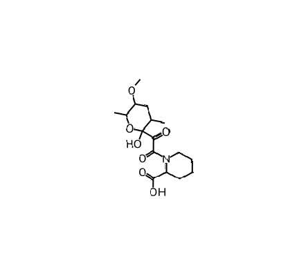 COC1CC(C)C(O)(C(=O)C(=O)N2CCCCC2C(=O)O)OC1C